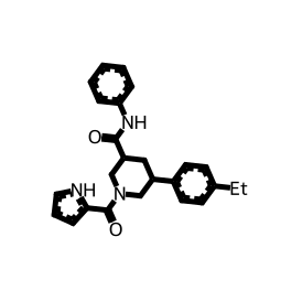 CCc1ccc(C2CC(C(=O)Nc3ccccc3)CN(C(=O)c3ccc[nH]3)C2)cc1